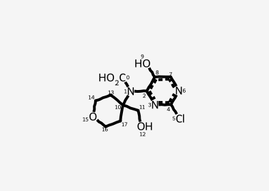 O=C(O)N(c1nc(Cl)ncc1O)C1(CO)CCOCC1